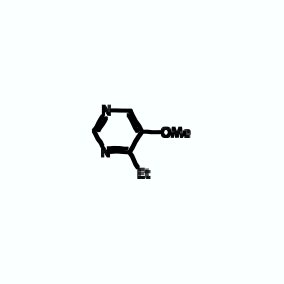 CCc1ncncc1OC